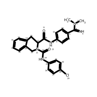 CN(C)C(=N)c1ccc(NC(=O)C2Cc3ccccc3CN2C(=O)Nc2ccc(Cl)cc2)cc1